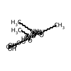 CCCCCCCCCCNC(=O)OC[C@H](CSC[C@H](NC(=O)CCCCCC)C(=O)NCCOCCOCCOCCP(=O)(O)O)OC(=O)NCCCCCCCCCC